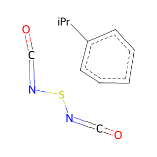 CC(C)c1ccccc1.O=C=NSN=C=O